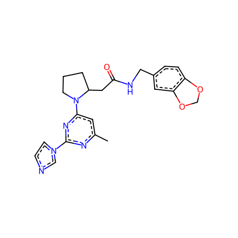 Cc1cc(N2CCCC2CC(=O)NCc2ccc3c(c2)OCO3)nc(-n2ccnc2)n1